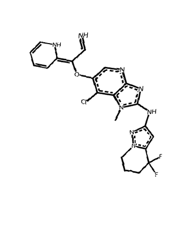 Cn1c(Nc2cc3n(n2)CCCC3(F)F)nc2ncc(O/C(C=N)=C3\C=CC=CN3)c(Cl)c21